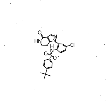 CC(C)(C)c1ccc(S(=O)(=O)Nc2ccc(Cl)cc2-n2ncc3c(=O)[nH]ccc32)cc1